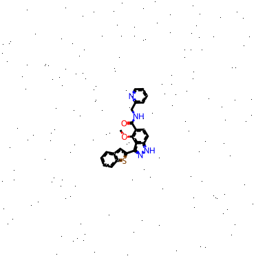 COc1c(C(=O)NCc2ccccn2)ccc2[nH]nc(-c3cc4ccccc4s3)c12